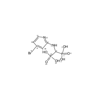 O=P(O)(O)C(Nc1cc(Br)ccn1)P(=O)(O)O